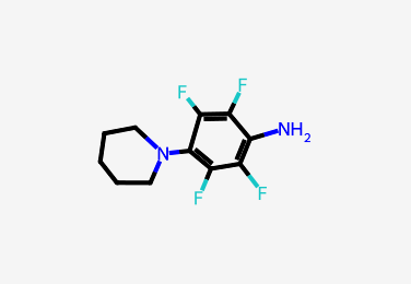 Nc1c(F)c(F)c(N2CCCCC2)c(F)c1F